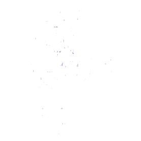 C1=CC(c2cccc3c2oc2cccc(-c4nc(-c5ccc6ccccc6c5)nc(-c5cc6ccccc6c6ccccc56)n4)c23)Cc2ccccc21